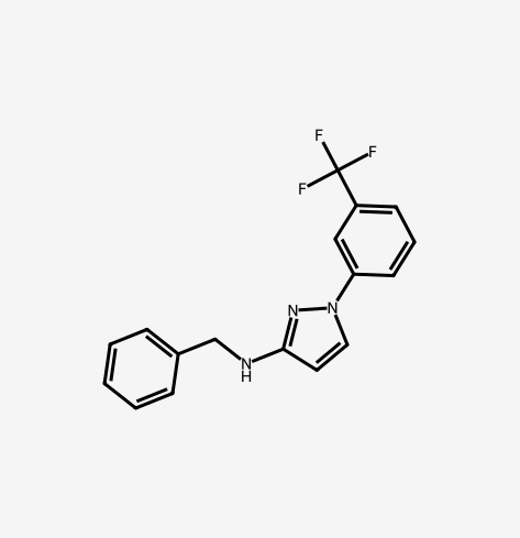 FC(F)(F)c1cccc(-n2ccc(NCc3ccccc3)n2)c1